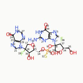 Nc1nc2c(ncn2[C@@]2(OP(O)(=S)OC[C@H]3OC[C@@](F)(n4cnc5c(=O)[nH]cnc54)[C@@H]3O)CO[C@H](CO)[C@H]2F)c(=O)[nH]1